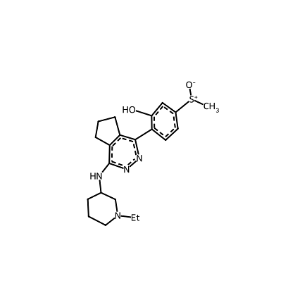 CCN1CCCC(Nc2nnc(-c3ccc([S+](C)[O-])cc3O)c3c2CCC3)C1